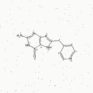 Nc1nc2nc(Cc3ccncc3)[nH]c2c(=O)[nH]1